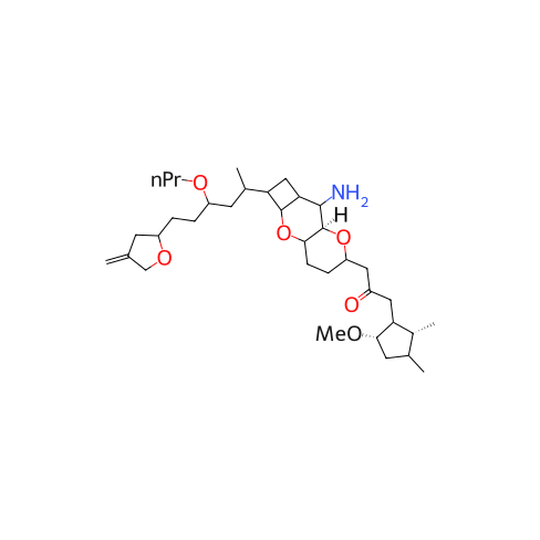 C=C1COC(CCC(CC(C)C2CC3C2OC2CCC(CC(=O)CC4[C@H](C)C(C)C[C@@H]4OC)O[C@@H]2C3N)OCCC)C1